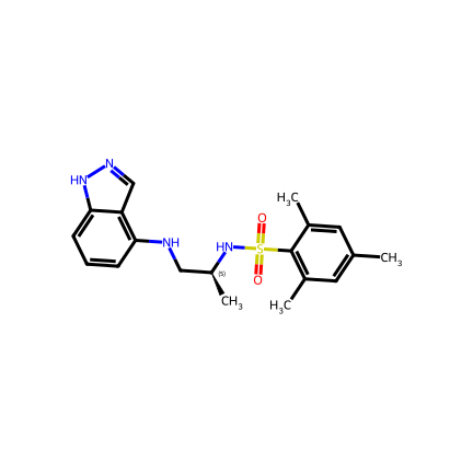 Cc1cc(C)c(S(=O)(=O)N[C@@H](C)CNc2cccc3[nH]ncc23)c(C)c1